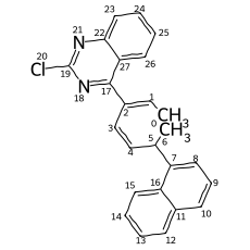 C/C=C(\C=C/C(C)c1cccc2ccccc12)c1nc(Cl)nc2ccccc12